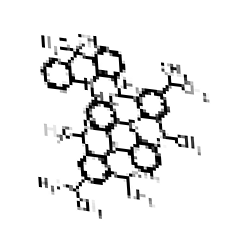 CC(C)c1cc(C(C)C)c(B2c3ccccc3B(c3c(C(C)C)cc(C(C)C)cc3C(C)C)c3cc(N4c5ccccc5C(C)(C)c5ccccc54)ccc32)c(C(C)C)c1